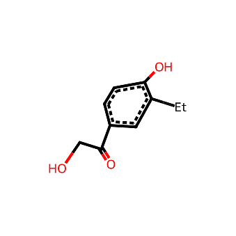 CCc1cc(C(=O)CO)ccc1O